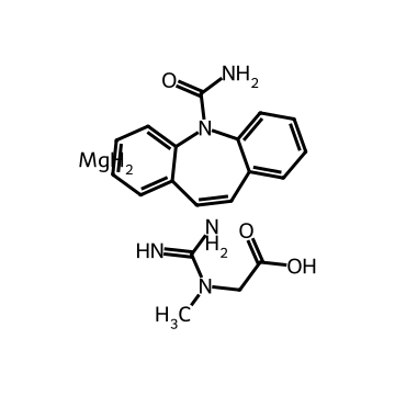 CN(CC(=O)O)C(=N)N.NC(=O)N1c2ccccc2C=Cc2ccccc21.[MgH2]